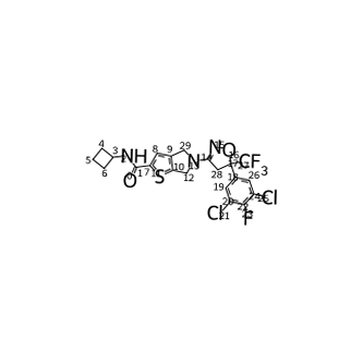 O=C(NC1CCC1)c1cc2c(s1)CN(C1=NOC(c3cc(Cl)c(F)c(Cl)c3)(C(F)(F)F)C1)C2